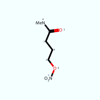 C[N]C(=O)CCCO[N+](=O)[O-]